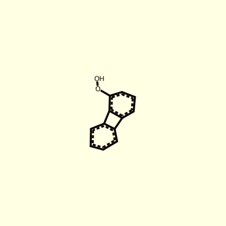 OOc1cccc2c1-c1ccccc1-2